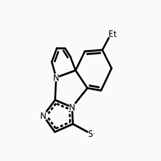 CCC1=CC23C=CC=CN2c2ncc([S])n2C3=CC1